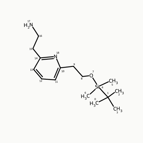 CC(C)(C)[Si](C)(C)OCCc1cccc(CCN)n1